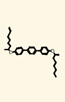 CCCCCCC(C)Oc1ccc(-c2ccc(-c3ccc(OC(C)CCCCCC)cc3)cc2)cc1